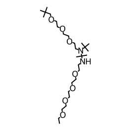 CCOCCOCCOCCOCCNC(C)(C)N(CCOCCOCCOCC(C)(C)C)C(C)(C)C